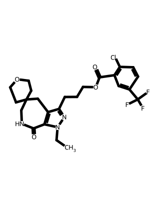 CCn1nc(CCCOC(=O)c2cc(C(F)(F)F)ccc2Cl)c2c1C(=O)NCC1(CCOCC1)C2